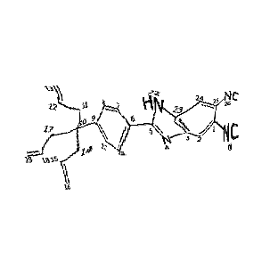 [C-]#[N+]c1cc2nc(-c3ccc(C(CC=C)(CC=C)CC=C)cc3)[nH]c2cc1[N+]#[C-]